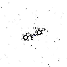 Cc1ccc(/C=C/C(=O)N2CCc3ccccc32)cc1C